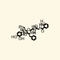 CC(C)CN(C[C@@H](O)[C@H](Cc1ccccc1)NC(=O)[C@@H](NC(=O)CNC(=O)c1ccccc1N)C(C)(C)C)S(=O)(=O)c1ccc(O)c(O)c1